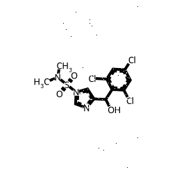 CN(C)S(=O)(=O)n1cnc(C(O)c2c(Cl)cc(Cl)cc2Cl)c1